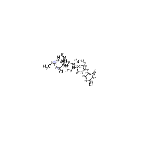 C=C(/C(Cl)=C\C(=C/C)c1ncn[nH]1)N1CCN(C2CCN(Cc3ccc(Cl)cc3F)CC2)[C@@H](CC)C1